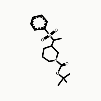 CC(C1CCCN(C(=O)OC(C)(C)C)C1)S(=O)(=O)c1ccccc1